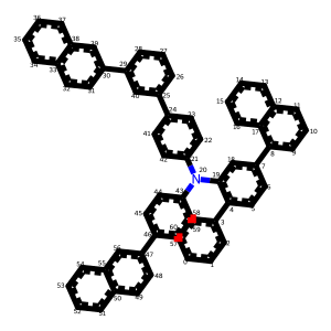 c1ccc(-c2ccc(-c3cccc4ccccc34)cc2N(c2ccc(-c3cccc(-c4ccc5ccccc5c4)c3)cc2)c2ccc(-c3ccc4ccccc4c3)cc2)cc1